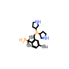 CC(C)(C)c1ccc(C(P)(C(C)(C)C)C(C)(C)C)c(CP(C2CCNC2)C2CCNC2)c1